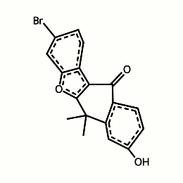 CC1(C)c2cc(O)ccc2C(=O)c2c1oc1cc(Br)ccc21